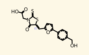 O=C(O)CN1C(=O)/C(=C/c2ccc(-c3ccc(CO)cc3)o2)SC1=S